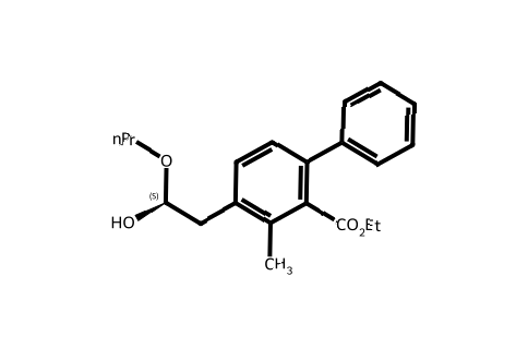 CCCO[C@H](O)Cc1ccc(-c2ccccc2)c(C(=O)OCC)c1C